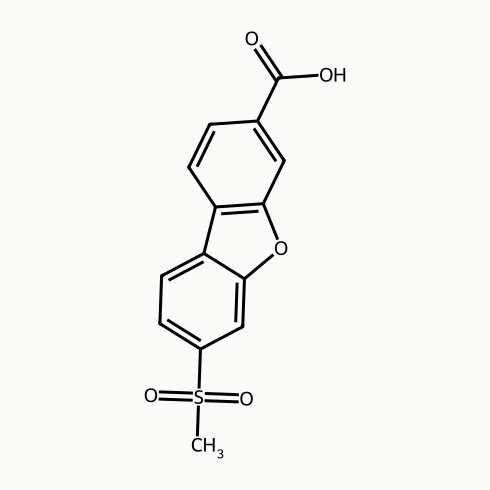 CS(=O)(=O)c1ccc2c(c1)oc1cc(C(=O)O)ccc12